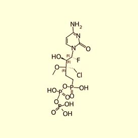 CO[C@](CCl)(CCP(=O)(O)OP(=O)(O)OP(=O)(O)O)[C@@H](O)[C@@H](F)n1ccc(N)nc1=O